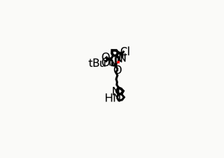 Cn1nc(Cl)c2cccc(C(C(=O)OC(C)(C)C)N3CC(OCCCCCc4ccc5c(n4)NCCC5)C3)c21